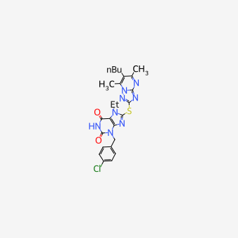 CCCCc1c(C)nc2nc(Sc3nc4c(c(=O)[nH]c(=O)n4Cc4ccc(Cl)cc4)n3CC)nn2c1C